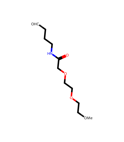 COCCOCCOCC(=O)NCCCC=O